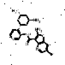 CC(C)c1cnc2c(C(=O)Nc3cnccc3[C@@H]3C[C@H](C)C[C@@H](N)C3)c(N)oc2c1